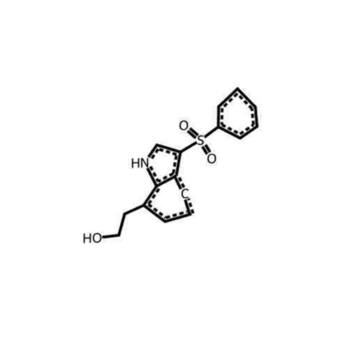 O=S(=O)(c1ccccc1)c1c[nH]c2c(CCO)cccc12